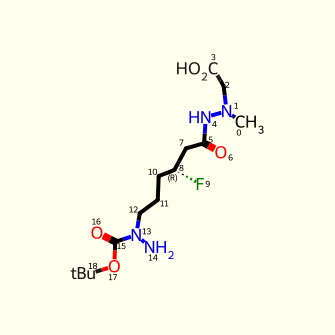 CN(CC(=O)O)NC(=O)C[C@H](F)CCCN(N)C(=O)OC(C)(C)C